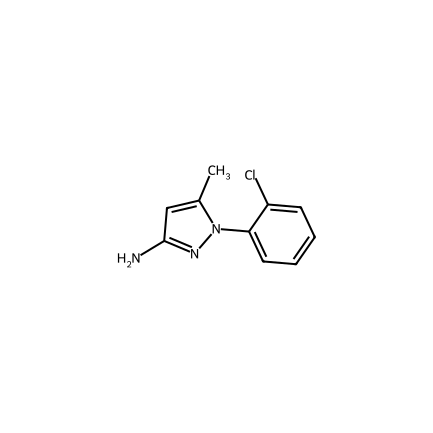 Cc1cc(N)nn1-c1ccccc1Cl